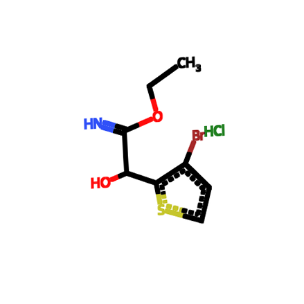 CCOC(=N)C(O)c1sccc1Br.Cl